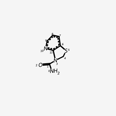 NC(=O)N1CSc2cccnc21